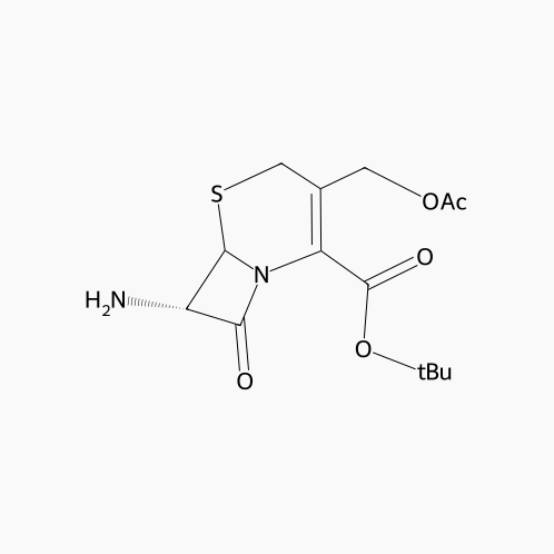 CC(=O)OCC1=C(C(=O)OC(C)(C)C)N2C(=O)[C@H](N)C2SC1